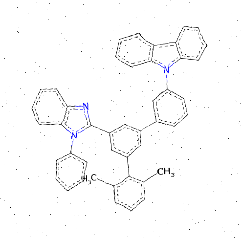 Cc1cccc(C)c1-c1cc(-c2cccc(-n3c4ccccc4c4ccccc43)c2)cc(-c2nc3ccccc3n2-c2ccccc2)c1